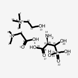 CN(C)CC(=O)O.C[N+](C)(C)CCO.N[C@H](C(=O)O)C(O)P(=O)(O)O